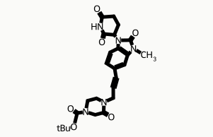 Cn1c(=O)n(C2CCC(=O)NC2=O)c2ccc(C#CCN3CCN(C(=O)OC(C)(C)C)CC3=O)cc21